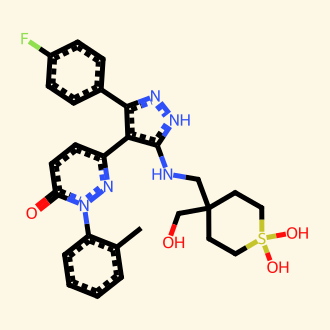 Cc1ccccc1-n1nc(-c2c(-c3ccc(F)cc3)n[nH]c2NCC2(CO)CCS(O)(O)CC2)ccc1=O